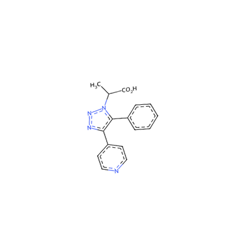 CC(C(=O)O)n1nnc(-c2ccncc2)c1-c1ccccc1